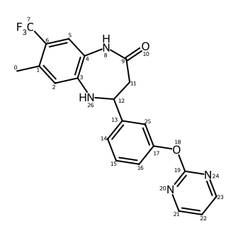 Cc1cc2c(cc1C(F)(F)F)NC(=O)CC(c1cccc(Oc3ncccn3)c1)N2